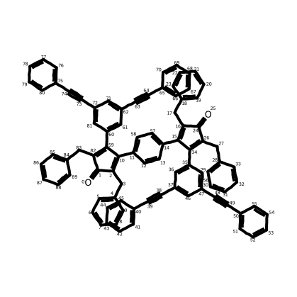 O=C1C(Cc2ccccc2)=C(c2ccc(C3=C(Cc4ccccc4)C(=O)C(Cc4ccccc4)=C3c3cc(C#Cc4ccccc4)cc(C#Cc4ccccc4)c3)cc2)C(c2cc(C#Cc3ccccc3)cc(C#Cc3ccccc3)c2)=C1Cc1ccccc1